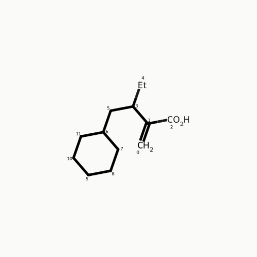 C=C(C(=O)O)C(CC)CC1CCCCC1